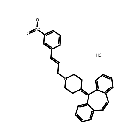 Cl.O=[N+]([O-])c1cccc(C=CCN2CCC(=C3c4ccccc4C=Cc4ccccc43)CC2)c1